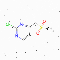 CS(=O)(=O)Cc1ccnc(Cl)n1